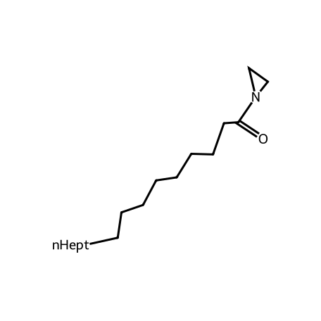 CCCCCCCCCCCCCCCC(=O)N1CC1